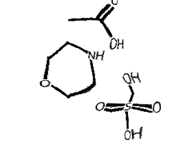 C1COCCN1.CC(=O)O.O=S(=O)(O)O